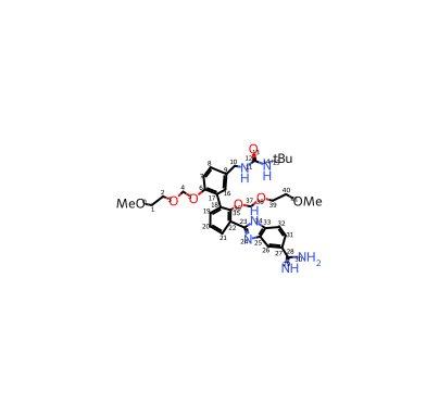 COCCOCOc1ccc(CNC(=O)NC(C)(C)C)cc1-c1cccc(-c2nc3cc(C(=N)N)ccc3[nH]2)c1OCOCCOC